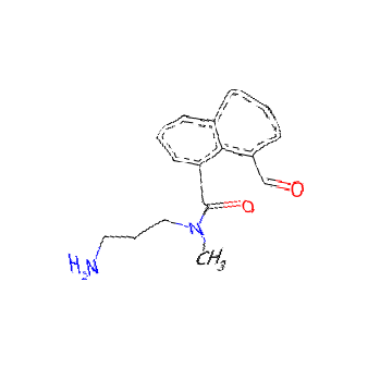 CN(CCCN)C(=O)c1cccc2cccc(C=O)c12